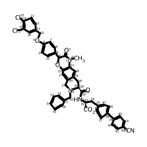 CN1C(=O)C(c2ccc(OCc3ccc(Cl)c(Cl)c3)cc2)Oc2cc3c(cc21)C[C@@H](C(=O)N[C@@H](Cc1ccc(-c2ccc(C#N)cc2)cc1)C(=O)O)N(Cc1ccccc1)C3